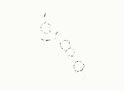 CCc1ccc(-c2nc3ccc(NC(=O)c4cc(C#N)ncc4S(C)(=O)=O)cc3n2C)cc1